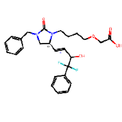 O=C(O)COCCCCN1C(=O)N(Cc2ccccc2)C[C@@H]1/C=C/C(O)C(F)(F)c1ccccc1